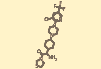 NC(C(=O)N1CCSC1)C1CCC(N2CCN(c3ncc(C(F)(F)F)cc3Cl)CC2)CC1